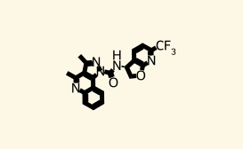 Cc1nc2ccccc2c2c1c(C)nn2C(=O)N[C@H]1COc2nc(C(F)(F)F)ccc21